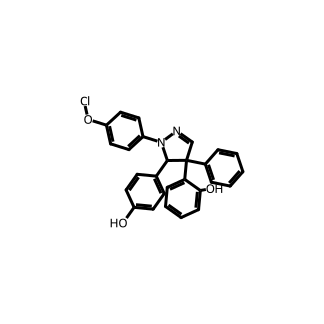 Oc1ccc(C2N(c3ccc(OCl)cc3)N=CC2(c2ccccc2)c2ccccc2O)cc1